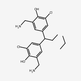 CCC.CCC(c1cc(Cl)c(O)c(CN)c1)c1cc(Cl)c(O)c(CN)c1